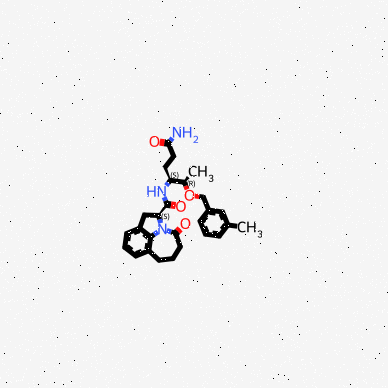 Cc1cccc(CO[C@H](C)[C@H](CCC(N)=O)NC(=O)[C@@H]2Cc3cccc4c3N2C(=O)CCC4)c1